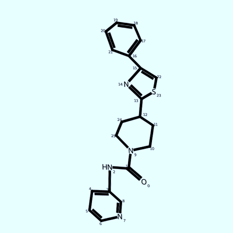 O=C(Nc1cccnc1)N1CCC(c2nc(-c3ccccc3)cs2)CC1